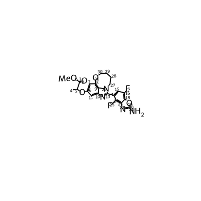 COC(=O)[C@H](C)Oc1cc2c3c(c1)nc(-c1cc(F)c4oc(N)nc4c1F)n3CCCCO2